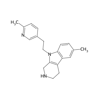 Cc1ccc2c(c1)c1c(n2CCc2ccc(C)nc2)CNCC1